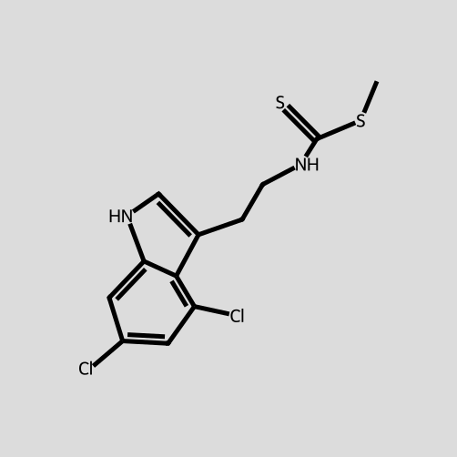 CSC(=S)NCCc1c[nH]c2cc(Cl)cc(Cl)c12